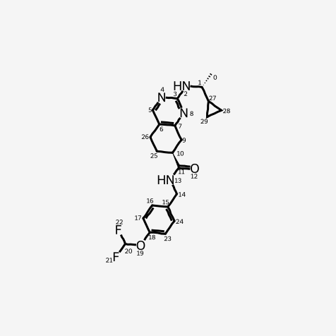 C[C@@H](Nc1ncc2c(n1)C[C@@H](C(=O)NCc1ccc(OC(F)F)cc1)CC2)C1CC1